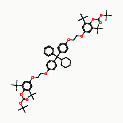 CC(C)(C)OC(=O)Oc1c(C(C)(C)C)cc(OCCOc2ccc(C(c3ccccc3)(c3ccc(OCCOc4cc(C(C)(C)C)c(OC(=O)OC(C)(C)C)c(C(C)(C)C)c4)cc3)C3CCCCC3)cc2)cc1C(C)(C)C